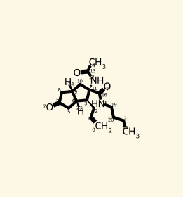 C=CC[C@H]1[C@@H]2CC(=O)C[C@@H]2C[C@@]1(NC(C)=O)C(=O)NCCCC